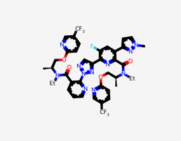 CCN(C(=O)c1cccnc1-n1ncc(-c2nc(C(=O)N(CC)[C@@H](C)COc3ccc(C(F)(F)F)cn3)c(-c3ccn(C)n3)cc2F)n1)[C@@H](C)COc1ccc(C(F)(F)F)cn1